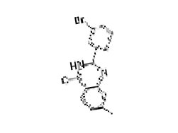 Cc1ccc2c(=O)[nH]c(-c3cccc(Br)c3)nc2c1